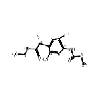 C[C@@H](C(=O)NCC(F)(F)F)c1cc(F)c(NC(=O)OC(C)(C)C)cc1N